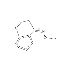 CCO/N=C1/C[CH]Oc2ccccc21